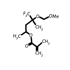 C=C(C)C(=O)OC(C)CC(C)(OCOC)C(F)(F)F